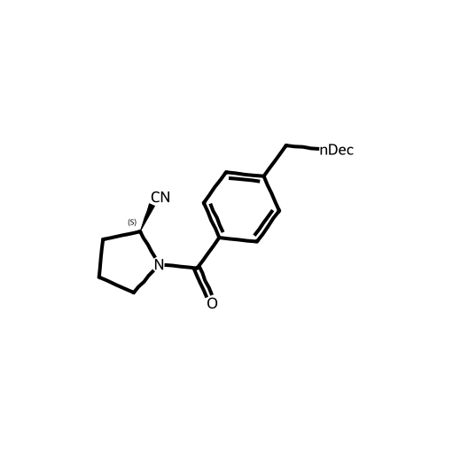 CCCCCCCCCCCc1ccc(C(=O)N2CCC[C@H]2C#N)cc1